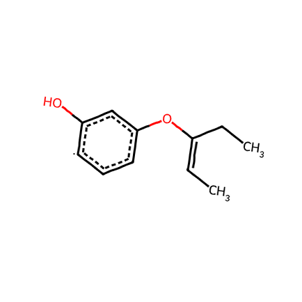 CC=C(CC)Oc1cc[c]c(O)c1